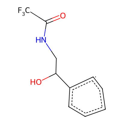 O=C(NCC(O)c1[c]cccc1)C(F)(F)F